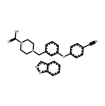 N#Cc1ccc(Oc2cccc(CN3CCN(C(=O)O)CC3)c2)cc1.c1ccc2oncc2c1